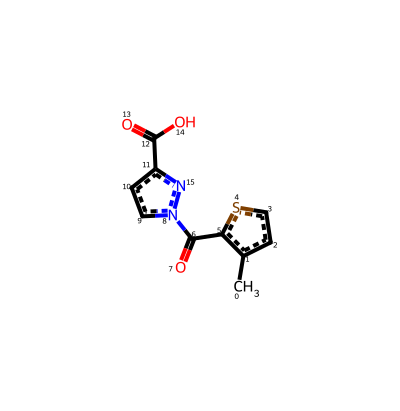 Cc1ccsc1C(=O)n1ccc(C(=O)O)n1